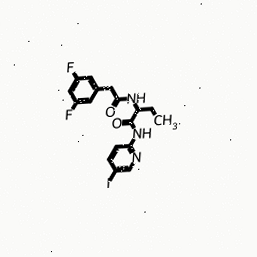 CCC(NC(=O)Cc1cc(F)cc(F)c1)C(=O)Nc1ccc(I)cn1